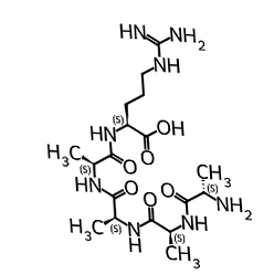 C[C@H](N)C(=O)N[C@@H](C)C(=O)N[C@@H](C)C(=O)N[C@@H](C)C(=O)N[C@@H](CCCNC(=N)N)C(=O)O